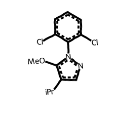 COc1c(C(C)C)cnn1-c1c(Cl)cccc1Cl